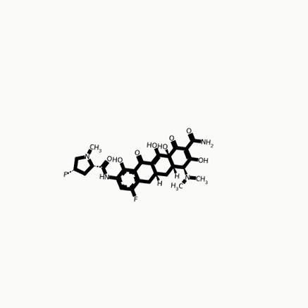 CN(C)[C@@H]1C(O)=C(C(N)=O)C(=O)[C@@]2(O)C(O)=C3C(=O)c4c(O)c(NC(=O)[C@@H]5C[C@H](F)CN5C)cc(F)c4C[C@H]3C[C@@H]12